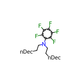 CCCCCCCCCCCCN(CCCCCCCCCCCC)c1c(F)c(F)c(F)c(F)c1F